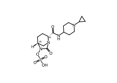 O=C(NC1CCN(C2CC2)CC1)[C@H]1CC[C@@H]2CN1C(=O)N2OS(=O)(=O)O